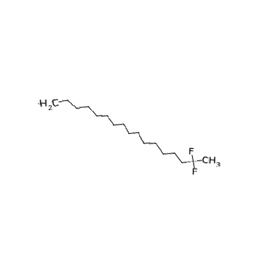 [CH2]CCCCCCCCCCCCCCC(C)(F)F